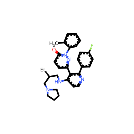 CCC(CNc1ccnc(-c2ccc(F)cc2)c1-c1ccc(=O)n(-c2ccccc2C)n1)CN1CCCC1